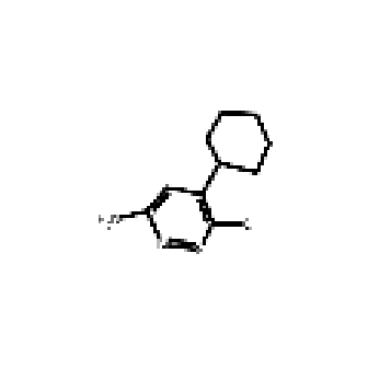 Nc1cc(C2CCCCC2)c(Cl)nn1